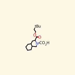 CC(C)(C)CCOC(=O)C1CC2CCCCC2CN1C(=O)O